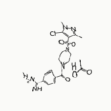 CC(=O)O.Cc1nn(C)c(Cl)c1S(=O)(=O)N1CCN(C(=O)c2ccc(C(=N)N)cc2)CC1